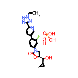 C=Cn1nnc(-c2ccc(-c3ccc(N4C[C@@H](C(O)C5CC5)OC4=O)cc3F)cn2)n1.O=P(O)(O)O